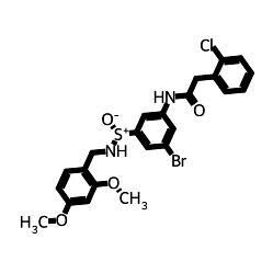 COc1ccc(CN[S+]([O-])c2cc(Br)cc(NC(=O)Cc3ccccc3Cl)c2)c(OC)c1